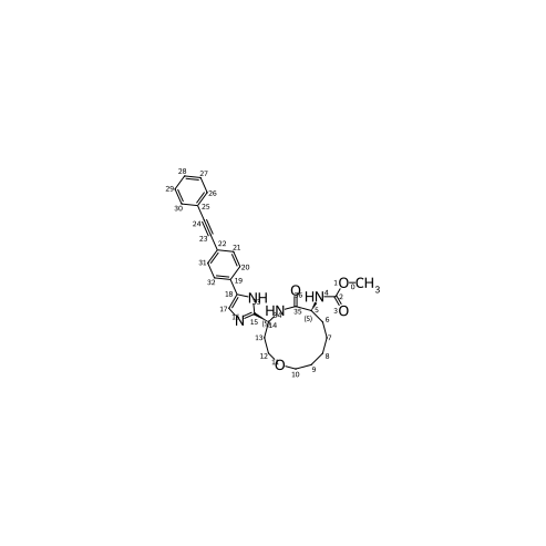 COC(=O)N[C@H]1CCCCCOCC[C@@H](c2ncc(-c3ccc(C#Cc4ccccc4)cc3)[nH]2)NC1=O